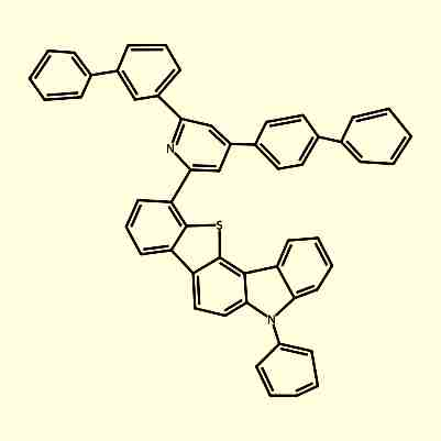 c1ccc(-c2ccc(-c3cc(-c4cccc(-c5ccccc5)c4)nc(-c4cccc5c4sc4c5ccc5c4c4ccccc4n5-c4ccccc4)c3)cc2)cc1